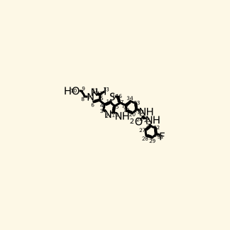 Nc1ncc(-c2cn(CCO)nc2I)c2scc(-c3ccc(NC(=O)Nc4cccc(F)c4)cc3)c12